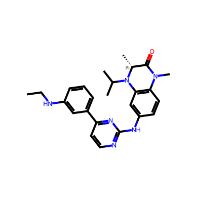 CCNc1cccc(-c2ccnc(Nc3ccc4c(c3)N(C(C)C)[C@H](C)C(=O)N4C)n2)c1